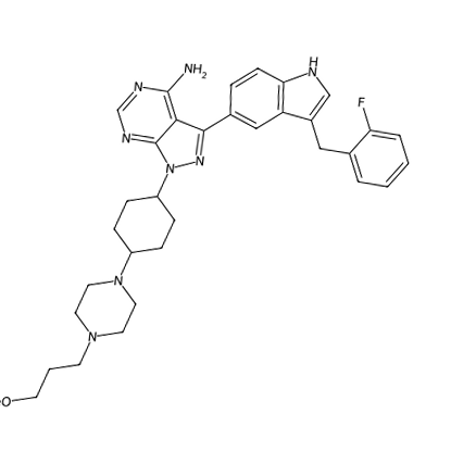 COCCCN1CCN(C2CCC(n3nc(-c4ccc5[nH]cc(Cc6ccccc6F)c5c4)c4c(N)ncnc43)CC2)CC1